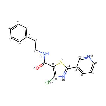 O=C(NCCc1ccccc1)c1sc(-c2cccnc2)nc1Cl